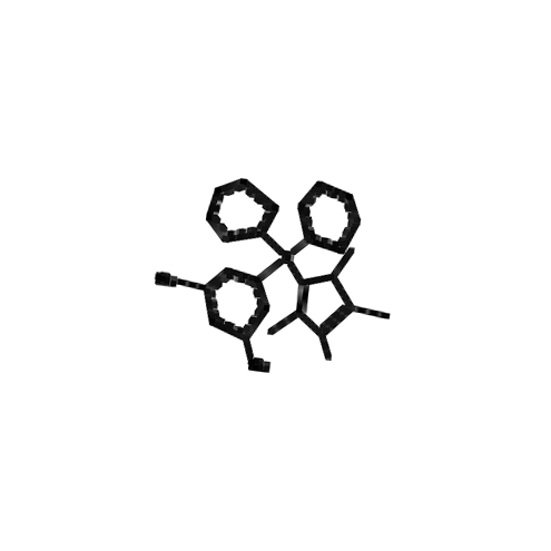 CC1=C(C)C(C)C([Si](c2ccccc2)(c2ccccc2)c2cc(C(C)(C)C)cc(C(C)(C)C)c2)=C1C